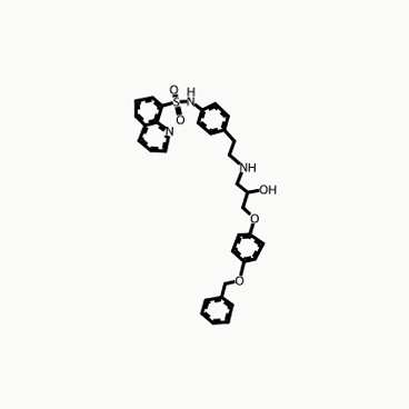 O=S(=O)(Nc1ccc(CCNCC(O)COc2ccc(OCc3ccccc3)cc2)cc1)c1cccc2cccnc12